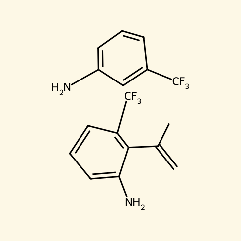 C=C(C)c1c(N)cccc1C(F)(F)F.Nc1cccc(C(F)(F)F)c1